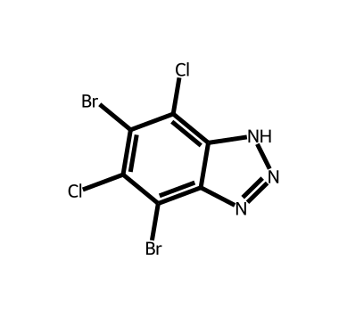 Clc1c(Br)c(Cl)c2[nH]nnc2c1Br